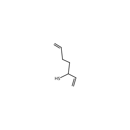 C=CCCC(S)C=C